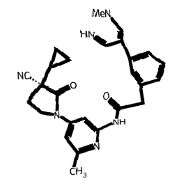 CN/C=C(\C=N)c1cccc(CC(=O)Nc2cc(N3CC[C@@](C#N)(C4CC4)C3=O)cc(C)n2)c1